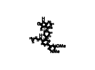 CN/C=C(\C=C(/C)OC)c1ccc(NCCN(C)C)c(C2CCN(c3ncnc4c3C(C)C(=O)N4)CC2)n1